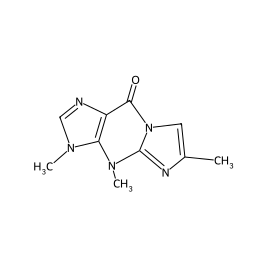 Cc1cn2c(=O)c3ncn(C)c3n(C)c2n1